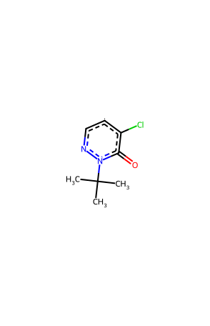 CC(C)(C)n1nc[c]c(Cl)c1=O